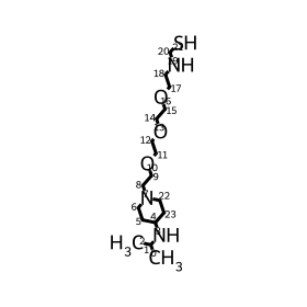 CC(C)NC1CCN(CCOCCOCCOCCNCS)CC1